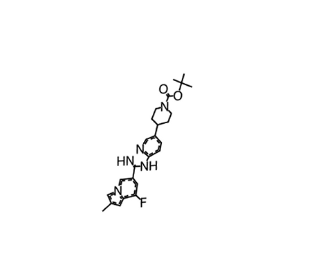 Cc1cc2c(F)cc(C(=N)Nc3ccc(C4CCN(C(=O)OC(C)(C)C)CC4)cn3)cn2c1